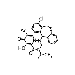 CC(=O)c1cn2c(c(O)c1=O)C(=O)N([C@H](C)C(F)(F)F)CN2[C@@H]1c2ccccc2SCc2c(Cl)cccc21